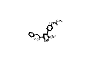 COC(=O)Nc1ccc(-c2cc(C(N)Cc3ccccc3)nnc2SC)cc1